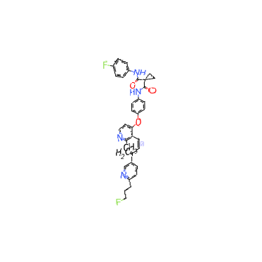 C=C(/C=C\c1c(Oc2ccc(NC(=O)C3(C(=O)Nc4ccc(F)cc4)CC3)cc2)ccnc1C)c1ccc(CCCF)nc1